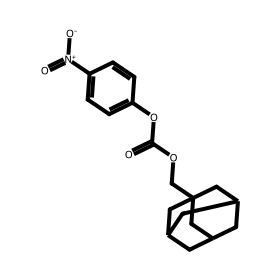 O=C(OCC12CC3CC(CC(C3)C1)C2)Oc1ccc([N+](=O)[O-])cc1